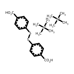 C[N+](C)(C)C.C[N+](C)(C)C.O=C(O)c1ccc(SSc2ccc(C(=O)O)cc2)cc1